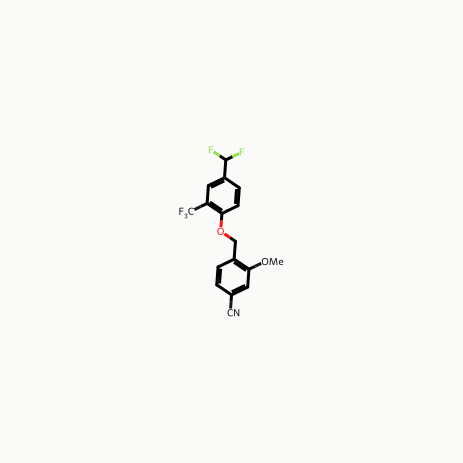 COc1cc(C#N)ccc1COc1ccc(C(F)F)cc1C(F)(F)F